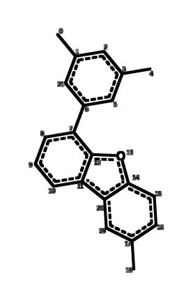 Cc1cc(C)cc(-c2cccc3c2oc2ccc(C)cc23)c1